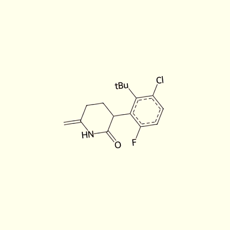 C=C1CCC(c2c(F)ccc(Cl)c2C(C)(C)C)C(=O)N1